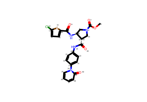 COC(=O)N1C[C@H](NC(=O)c2ccc(Cl)s2)[C@@H](C(=O)Nc2ccc(-n3ccccc3=O)cc2)C1